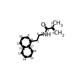 C=C(C)C(=O)NCCc1cccc2ccccc12